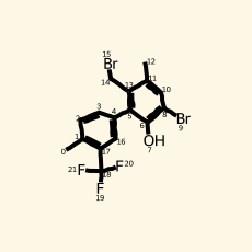 Cc1ccc(-c2c(O)c(Br)cc(C)c2CBr)cc1C(F)(F)F